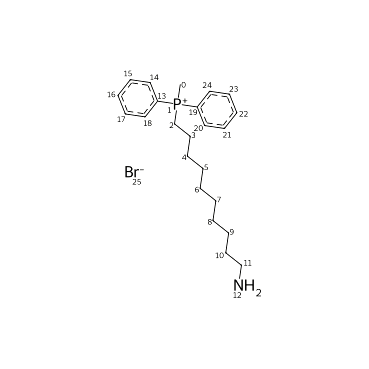 C[P+](CCCCCCCCCCN)(c1ccccc1)c1ccccc1.[Br-]